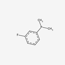 CP(C)c1cccc(F)c1